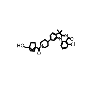 CC1(C)c2ccc(C3CCN(C(=O)C45CCC(CO)(CC4)C5)CC3)cc2-n2c1nc(=O)c1c(Cl)cccc12